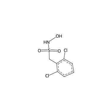 O=S(=O)(Cc1c(Cl)cccc1Cl)NO